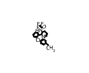 C=Cc1ccc2c(c1)N1CCCC(NC(=O)C(F)(F)F)C1c1ccccc1O2